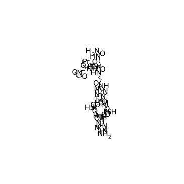 CC(C)[C@H](NC(=O)CCN1C(=O)C=CC1=O)C(=O)N[C@@H](CCCNC(N)=O)C(=O)NCCCC(=O)Nc1ncnc2c1ncn2[C@@H]1O[C@@H]2CO[P@@](=O)(S)O[C@H]3[C@@H](F)[C@H](n4cnc5c(N)ncnc54)O[C@@H]3CO[P@@](=O)(S)O[C@H]2[C@H]1F